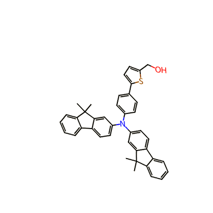 CC1(C)c2ccccc2-c2ccc(N(c3ccc(-c4ccc(CO)s4)cc3)c3ccc4c(c3)C(C)(C)c3ccccc3-4)cc21